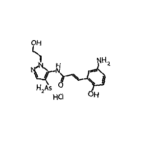 Cl.Nc1ccc(O)c(/C=C/C(=O)Nc2c([AsH2])cnn2CCO)c1